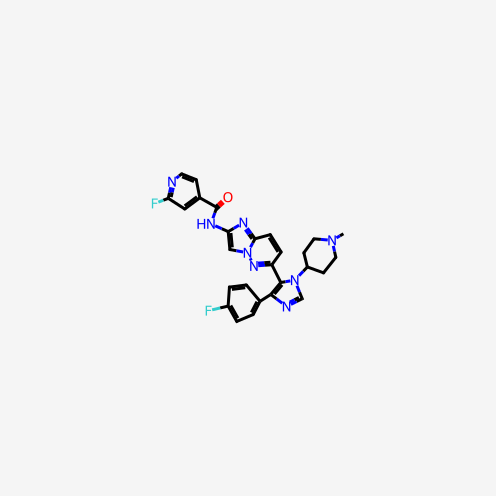 CN1CCC(n2cnc(-c3ccc(F)cc3)c2-c2ccc3nc(NC(=O)c4ccnc(F)c4)cn3n2)CC1